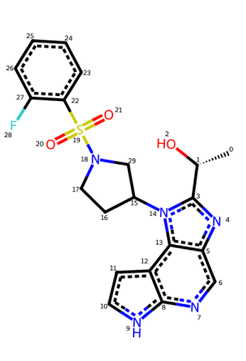 C[C@@H](O)c1nc2cnc3[nH]ccc3c2n1C1CCN(S(=O)(=O)c2ccccc2F)C1